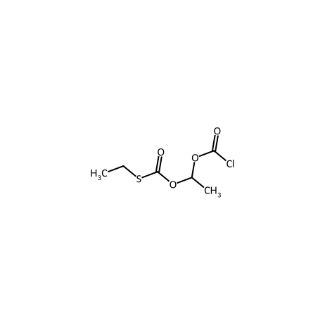 CCSC(=O)OC(C)OC(=O)Cl